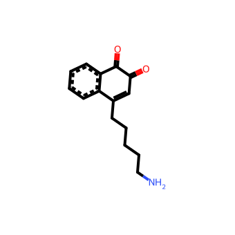 NCCCCCC1=CC(=O)C(=O)c2ccccc21